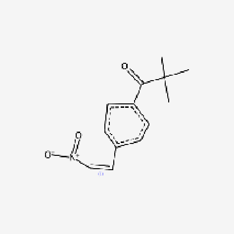 CC(C)(C)C(=O)c1ccc(/C=C\[N+](=O)[O-])cc1